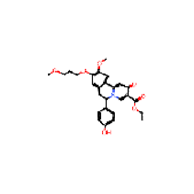 CCOC(=O)c1cn2c(cc1=O)-c1cc(OC)c(OCCCOC)cc1CC2c1ccc(O)cc1